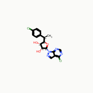 C[C@H](c1ccc(Cl)cc1)[C@H]1O[C@@H](n2ncc3c(Cl)ncnc32)[C@H](O)[C@@H]1O